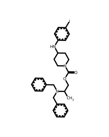 CC(COC(=O)N1CCC(Nc2ccc(I)cc2)CC1)N(Cc1ccccc1)Cc1ccccc1